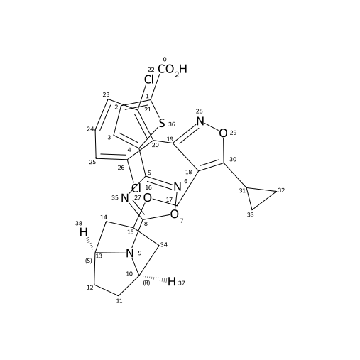 O=C(O)c1ccc(-c2noc(N3[C@@H]4CC[C@H]3CC(OCc3c(-c5c(Cl)cccc5Cl)noc3C3CC3)C4)n2)s1